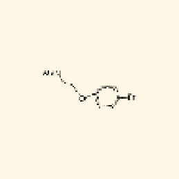 CCc1ccc(OCCNC)cc1